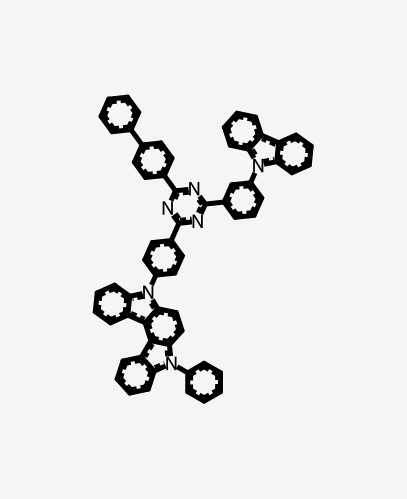 c1ccc(-c2ccc(-c3nc(-c4ccc(-n5c6ccccc6c6c7c8ccccc8n(-c8ccccc8)c7ccc65)cc4)nc(-c4cccc(-n5c6ccccc6c6ccccc65)c4)n3)cc2)cc1